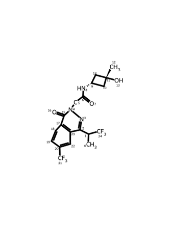 CC(c1nn(CC(=O)N[C@H]2C[C@@](C)(O)C2)c(=O)c2ccc(C(F)(F)F)cc12)C(F)(F)F